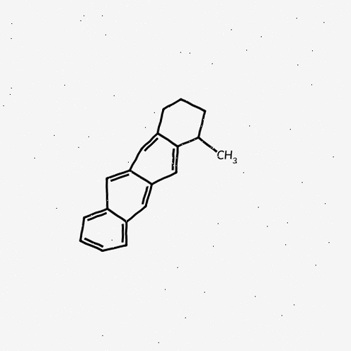 CC1CCCc2cc3cc4ccccc4cc3cc21